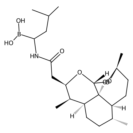 CC(C)CC(NC(=O)C[C@H]1O[C@@H]2O[C@@]3(C)CC[C@H]4[C@H](C)CC[C@@H]([C@H]1C)[C@@]24OO3)B(O)O